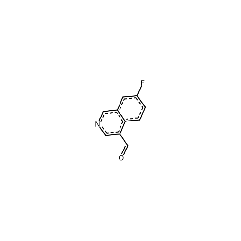 O=Cc1cncc2cc(F)ccc12